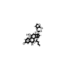 CCCC1O[C@@H]2CC3C4CC[C@@](C(=O)SC5CCOC5=O)(O1)[C@@]4(C)C[C@H](O)[C@@H]3[C@@]1(C)C=CC(=O)C=C21